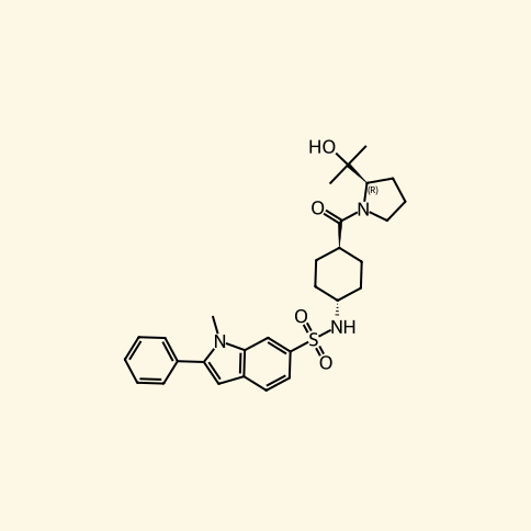 Cn1c(-c2ccccc2)cc2ccc(S(=O)(=O)N[C@H]3CC[C@H](C(=O)N4CCC[C@@H]4C(C)(C)O)CC3)cc21